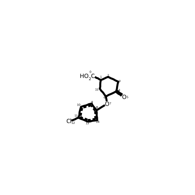 O=C(O)C1CCC(=O)C(Oc2ccc(Cl)cc2)C1